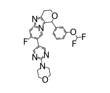 Fc1cc2nc3c(n2cc1-c1cnc(N2CCOCC2)nc1)C(c1cccc(OC(F)F)c1)OCC3